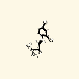 CN(C)C(=O)COc1ccc(Cl)cc1Cl